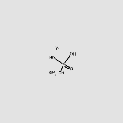 O=P(O)(O)O.[BiH3].[Y]